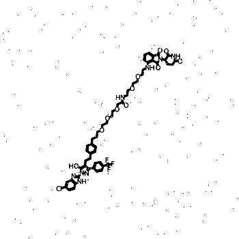 O=C(COCCOCCOCCCc1ccc(CCc2c(-c3ccc(C(F)(F)F)cc3)nn(-c3nc4cc(Cl)ccc4[nH]3)c2O)cc1)NCCOCCOCCNc1cccc2c1C(=O)N(C1CCC(=O)NC1=O)C2=O